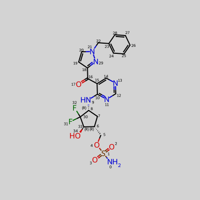 NS(=O)(=O)OC[C@H]1C[C@@H](Nc2ncncc2C(=O)c2ccn(Cc3ccccc3)n2)C(F)(F)[C@@H]1O